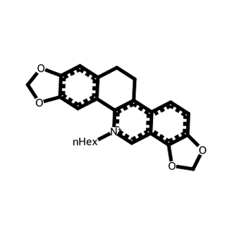 CCCCCC[n+]1cc2c3c(ccc2c2c1-c1cc4c(cc1CC2)OCO4)OCO3